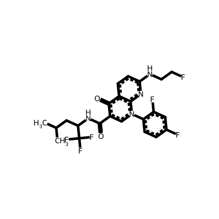 CC(C)CC(NC(=O)c1cn(-c2ccc(F)cc2F)c2nc(NCCF)ccc2c1=O)C(F)(F)F